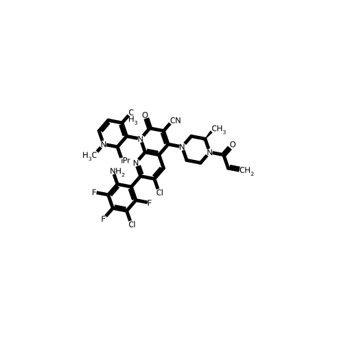 C=CC(=O)N1CCN(c2c(C#N)c(=O)n(C3=C(C)C=CN(C)C3C(C)C)c3nc(-c4c(N)c(F)c(F)c(Cl)c4F)c(Cl)cc23)C[C@H]1C